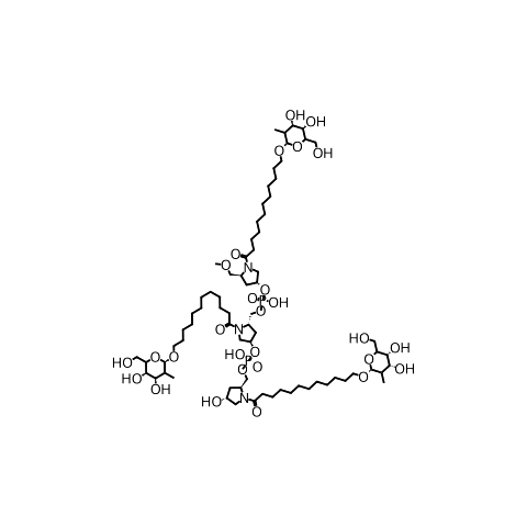 COC[C@@H]1C[C@@H](OP(=O)(O)OC[C@@H]2C[C@@H](OP(=O)(O)OC[C@@H]3C[C@@H](O)CN3C(=O)CCCCCCCCCCCO[C@@H]3OC(CO)[C@H](O)[C@H](O)C3C)CN2C(=O)CCCCCCCCCCCO[C@@H]2OC(CO)[C@H](O)[C@H](O)C2C)CN1C(=O)CCCCCCCCCCCO[C@@H]1OC(CO)[C@H](O)[C@H](O)C1C